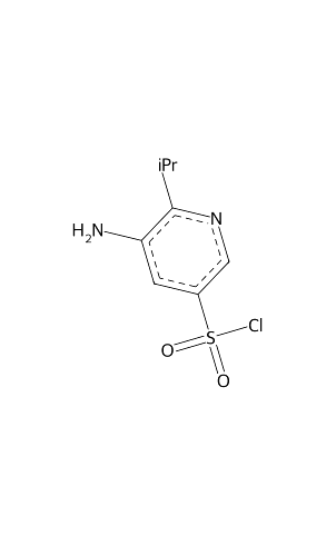 CC(C)c1ncc(S(=O)(=O)Cl)cc1N